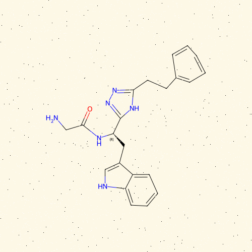 NCC(=O)N[C@H](Cc1c[nH]c2ccccc12)c1nnc(CCc2ccccc2)[nH]1